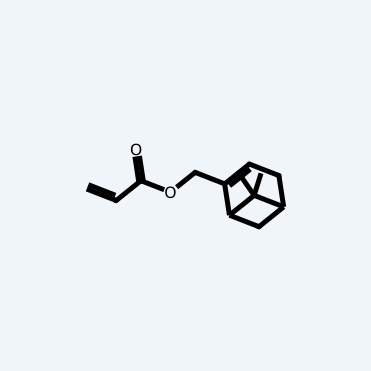 C=CC(=O)OCC1=CCC2CC1C2(C)C